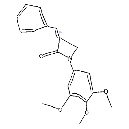 COc1cc(N2C/C(=C/c3ccccc3)C2=O)cc(OC)c1OC